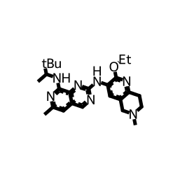 CCOc1nc2c(cc1Nc1ncc3cc(C)nc(NC(C)C(C)(C)C)c3n1)CN(C)CC2